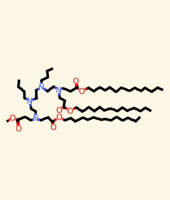 CCCCCCCCCCCCCCOC(=O)CCN(CCC(=O)OC)CCN(CCCC)CCN(CCCC)CCN(CCC(=O)OCCCCCCCCCCCCCC)CCC(=O)OCCCCCCCCCCCCCC